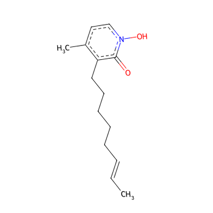 CC=CCCCCCc1c(C)ccn(O)c1=O